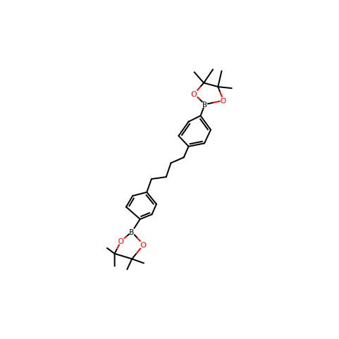 CC1(C)OB(c2ccc(CCCCc3ccc(B4OC(C)(C)C(C)(C)O4)cc3)cc2)OC1(C)C